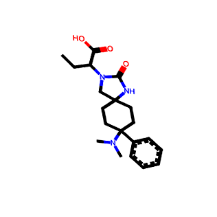 CCC(C(=O)O)N1CC2(CCC(c3ccccc3)(N(C)C)CC2)NC1=O